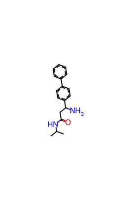 CC(C)NC(=O)CC(N)c1ccc(-c2ccccc2)cc1